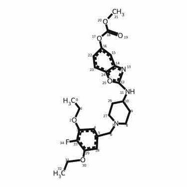 CCOc1cc(CN2CCC(Nc3nc4cc(OC(=O)OC)ccc4o3)CC2)cc(OCC)c1F